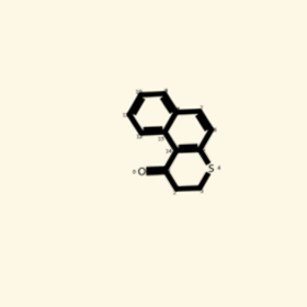 O=C1CCSc2ccc3ccccc3c21